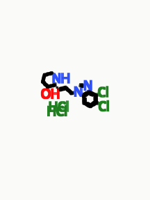 Cl.Cl.O[C@H]1CCCN[C@@H]1/C=C/Cn1cnc2c(Cl)c(Cl)ccc21